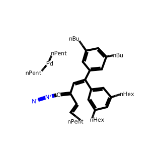 CCCCCC=CC(=C=[N+]=[N-])C=C(c1cc(CCCC)cc(CCCC)c1)c1cc(CCCCCC)cc(CCCCCC)c1.CCCC[CH2][Pd][CH2]CCCC